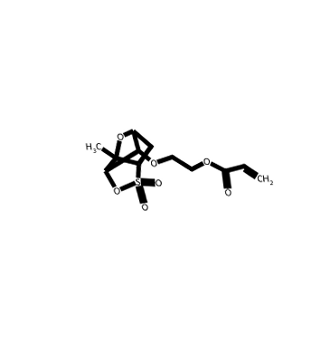 C=CC(=O)OCCOC1C2CC3C(C)(O2)C1OS3(=O)=O